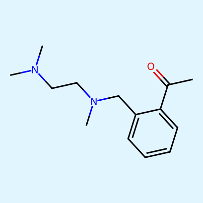 CC(=O)c1ccccc1CN(C)CCN(C)C